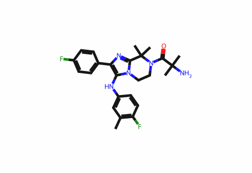 Cc1cc(Nc2c(-c3ccc(F)cc3)nc3n2CCN(C(=O)C(C)(C)N)C3(C)C)ccc1F